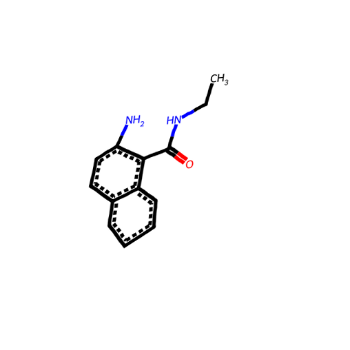 CCNC(=O)c1c(N)ccc2ccccc12